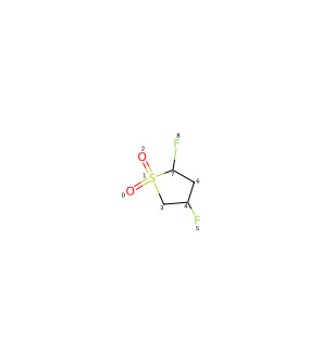 O=S1(=O)CC(F)CC1F